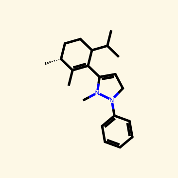 CC1=C(C2=CCN(c3ccccc3)N2C)C(C(C)C)CC[C@H]1C